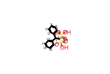 O=S(=O)(O)C(C(c1ccccc1)c1ccccc1)S(=O)(=O)O